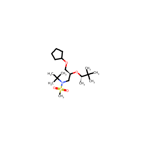 C[C@H](O[C@H](COC1CCCC1)CN(C(C)(C)C)S(C)(=O)=O)C(C)(C)C